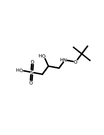 CC(C)(C)ONCC(O)CS(=O)(=O)O